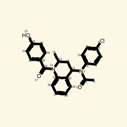 CC(=O)N(c1ccc(Cl)cc1)C1CC(C)N(C(=O)c2ccc(O)cc2)c2ccccc21